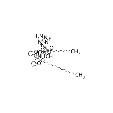 C#C[C@]1(COP(=O)(NC(Cc2ccccc2)C(=O)OCCCCCCCCCCCCCCCC)Oc2ccccc2)O[C@@H](n2cnc3c(N)nc(F)nc32)C[C@@H]1OC(=O)CCCCCCCCC